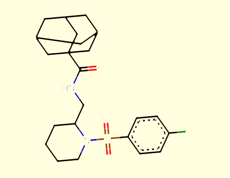 O=C(NCC1CCCCN1S(=O)(=O)c1ccc(Cl)cc1)C12CC3CC(CC(C3)C1)C2